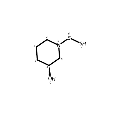 O[C@H]1CCCN(SS)C1